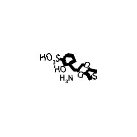 N.O=S(=O)(O)c1cccc(CC2COc3cscc3O2)c1O